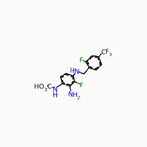 Nc1c(NC(=O)O)ccc(NCc2ccc(C(F)(F)F)cc2F)c1F